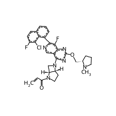 C=CC(=O)N1CC[C@@H]2[C@H]1CN2c1nc(OC[C@@H]2CCCN2C)nc2c(F)c(-c3cccc4ccc(F)c(Cl)c34)ncc12